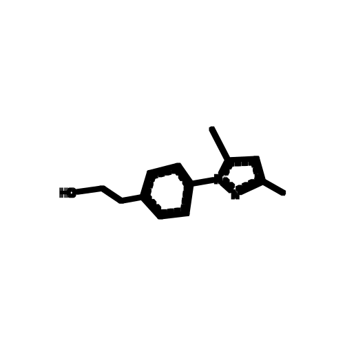 Cc1cc(C)n(-c2ccc(CCO)cc2)n1